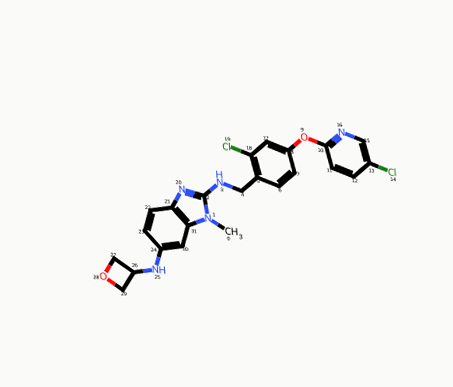 Cn1c(NCc2ccc(Oc3ccc(Cl)cn3)cc2Cl)nc2ccc(NC3COC3)cc21